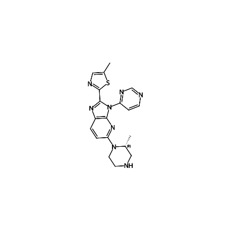 Cc1cnc(-c2nc3ccc(N4CCNC[C@H]4C)nc3n2-c2ccncn2)s1